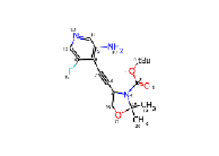 CC(C)(C)OC(=O)N1C(C#Cc2c(N)cncc2F)COC1(C)C